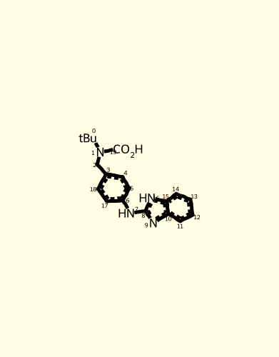 CC(C)(C)N(Cc1ccc(Nc2nc3ccccc3[nH]2)cc1)C(=O)O